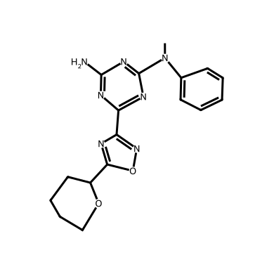 CN(c1ccccc1)c1nc(N)nc(-c2noc(C3CCCCO3)n2)n1